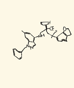 Cc1cc(NCC(O)(CC(C)(C)c2cccc3c2OCC3)C(F)(F)F)c2cnn(-c3ccccc3)c2c1